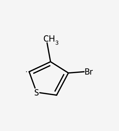 Cc1[c]scc1Br